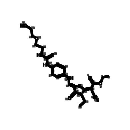 CCOC(=O)C(C#N)=c1sc(=CNc2ccc(NC(=S)NCCOCCO)cc2)c(=O)n1CC